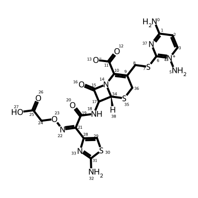 Nc1cc[n+](N)c(SCC2=C(C(=O)[O-])N3C(=O)C(NC(=O)/C(=N\OCC(=O)O)c4csc(N)n4)[C@H]3SC2)n1